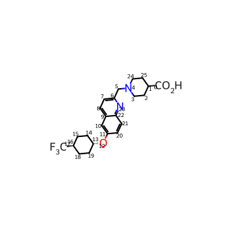 O=C(O)C1CCN(Cc2ccc3cc(O[C@H]4CC[C@H](C(F)(F)F)CC4)ccc3n2)CC1